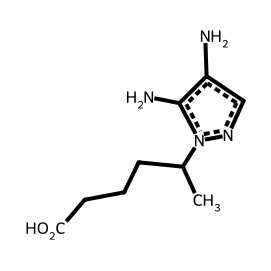 CC(CCCC(=O)O)n1ncc(N)c1N